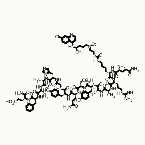 CCN(CCCC(C)Nc1ccnc2cc(Cl)ccc12)CCOC(=O)NCCCC[C@H](NC(=O)[C@@H](N)CCC(N)=O)C(=O)N[C@@H](CCCNC(=N)N)C(=O)N[C@@H](C)C(=O)N[C@@H](C)C(=O)N[C@@H](Cc1ccc(O)cc1)C(=O)N[C@@H](CC(=O)O)C(=O)N[C@@H](CCC(N)=O)C(=O)N[C@@H](Cc1ccc(O)cc1)C(=O)NCC(=O)N[C@@H](Cc1cnc[nH]1)C(=O)N[C@@H](C)C(=O)N[C@@H](C)C(=O)N[C@@H](Cc1ccccc1)C(=O)N[C@@H](CCC(=O)O)C(N)=O